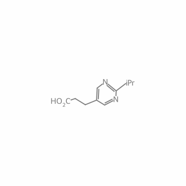 CC(C)c1ncc(CCC(=O)O)cn1